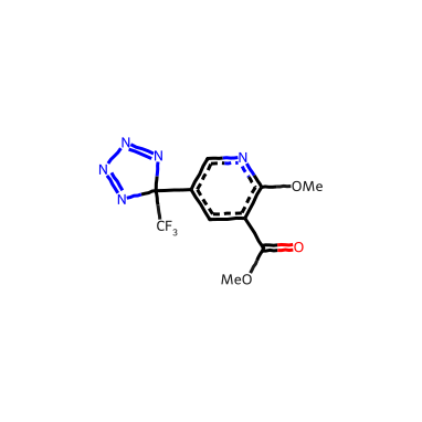 COC(=O)c1cc(C2(C(F)(F)F)N=NN=N2)cnc1OC